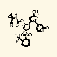 Cc1cc(N2C[C@H](S(=O)(=O)c3ccccc3C(F)(F)F)C[C@@H]2OC(=O)NC2(C#N)CC2)n(-c2cc[nH]c(=O)c2)n1